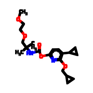 COCCOCC(C)(C)NC(=O)Oc1ccc(C2CC2)c(OCC2CC2)n1